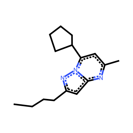 CCCCc1cc2nc(C)cc(C3CCCC3)n2n1